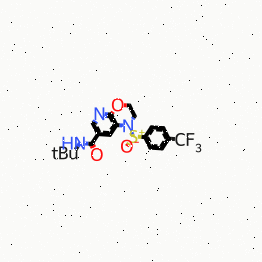 CC(C)(C)NC(=O)c1cnc2c(c1)N([S+]([O-])c1ccc(C(F)(F)F)cc1)CCO2